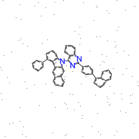 c1ccc(-c2cccc3c2c2cc4ccccc4cc2n3-c2nc(-c3ccc(-c4cccc5ccccc45)cc3)nc3ccccc23)cc1